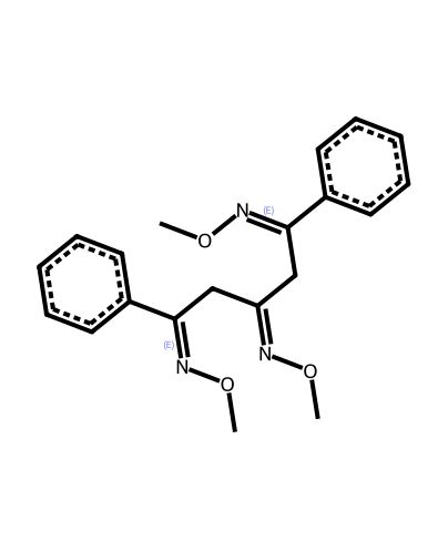 CON=C(C/C(=N\OC)c1ccccc1)C/C(=N\OC)c1ccccc1